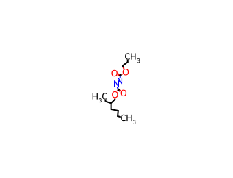 CCCCC(CC)COC(=O)N=NC(=O)OCCC